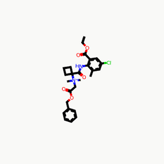 CCOC(=O)c1cc(Cl)cc(C)c1NC(=O)C1([N+](C)(C)CC(=O)OCc2ccccc2)CCC1